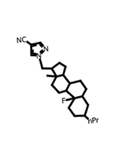 CCCC1CCC2(F)C(CCC3C4CCC(Cn5cc(C#N)cn5)C4(C)CCC32)C1